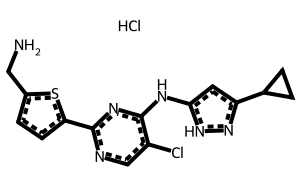 Cl.NCc1ccc(-c2ncc(Cl)c(Nc3cc(C4CC4)n[nH]3)n2)s1